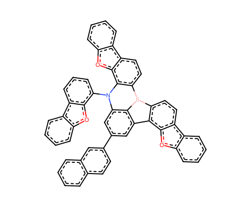 c1ccc2cc(-c3cc4c5c(c3)N(c3cccc6c3oc3ccccc36)c3c(ccc6c3oc3ccccc36)B5c3ccc5c(oc6ccccc65)c3-4)ccc2c1